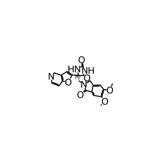 COc1cc2c(cc1OC)C(=O)N(C[C@]1(c3cc4cnccc4o3)NC(=O)NC1=O)C2